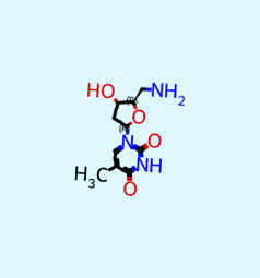 Cc1cn([C@H]2CC(O)[C@@H](CN)O2)c(=O)[nH]c1=O